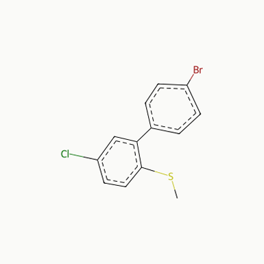 CSc1ccc(Cl)cc1-c1ccc(Br)cc1